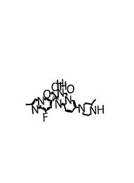 Cc1cn2cc([C@]3(C(=O)O)N=C4C=CC(N5CCNC(C)C5)=CN4C(=O)N3)cc(F)c2n1